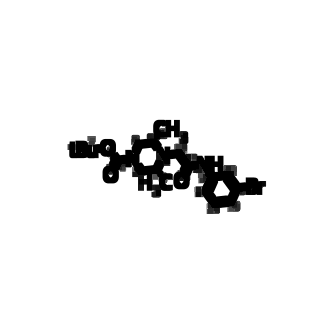 C[C@@H]1CN(C(=O)OC(C)(C)C)C[C@H](C)N1CC(=O)Nc1cccc(Br)c1